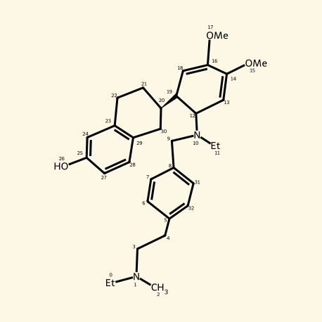 CCN(C)CCc1ccc(CN(CC)C2C=C(OC)C(OC)=CC2[C@@H]2CCc3cc(O)ccc3C2)cc1